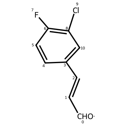 O=[C]C=Cc1ccc(F)c(Cl)c1